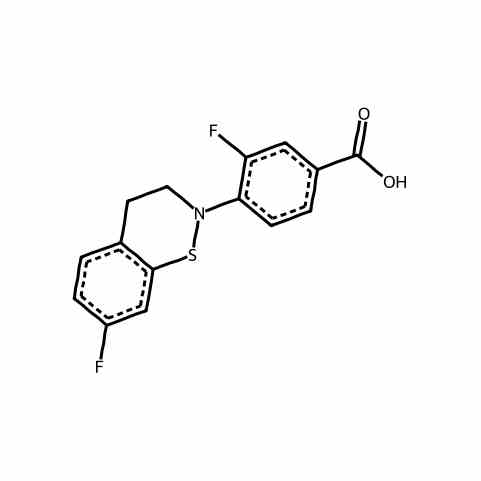 O=C(O)c1ccc(N2CCc3ccc(F)cc3S2)c(F)c1